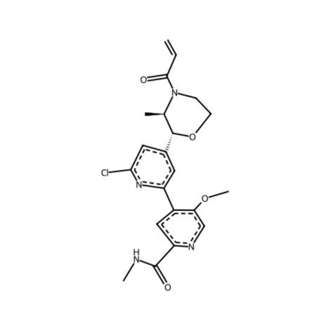 C=CC(=O)N1CCO[C@H](c2cc(Cl)nc(-c3cc(C(=O)NC)ncc3OC)c2)[C@H]1C